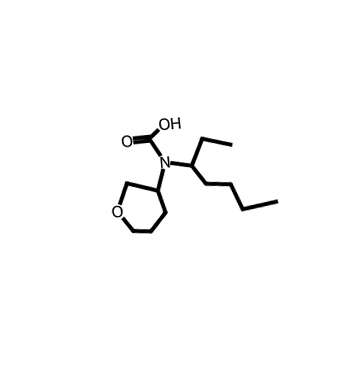 CCCCC(CC)N(C(=O)O)C1CCCOC1